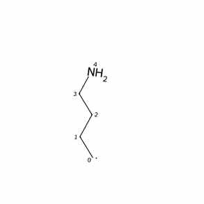 [CH2]CCCN